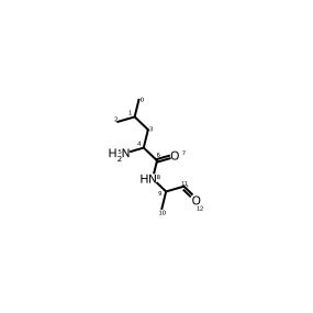 CC(C)CC(N)C(=O)NC(C)[C]=O